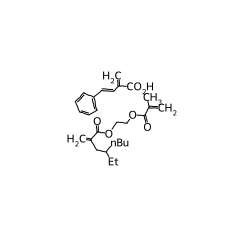 C=C(C)C(=O)OCCOC(=O)C(=C)CC(CC)CCCC.C=C(C=Cc1ccccc1)C(=O)O